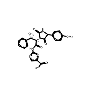 COc1ccc(C2NC(=O)N([C@H](C(=O)Nc3nc(C(=O)C(C)C)cs3)[C@@H](C)c3ccccc3)C2=O)cc1